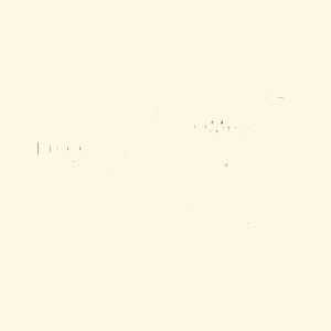 CCOC(=O)Cc1ccc(OC)c(-c2ccc(C(F)(F)F)cc2CSCC(F)(F)F)c1